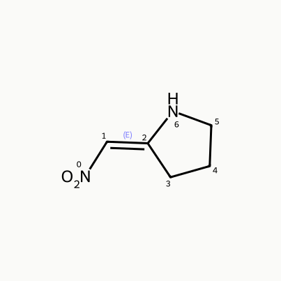 O=[N+]([O-])/C=C1\CCCN1